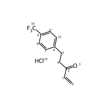 C=CC(=O)CCc1ccc(C(F)(F)F)cc1.Cl